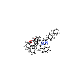 c1ccc(-c2ccc(-c3cc(-c4ccccc4-c4ccccc4C4(c5ccccc5)c5ccccc5Oc5ccccc54)nc(-c4ccccc4)n3)cc2)cc1